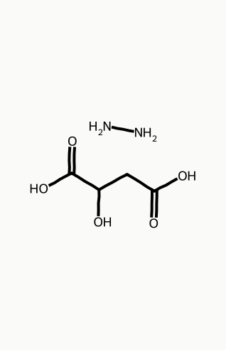 NN.O=C(O)CC(O)C(=O)O